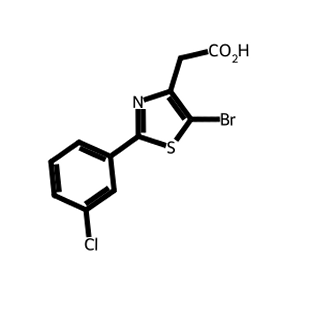 O=C(O)Cc1nc(-c2cccc(Cl)c2)sc1Br